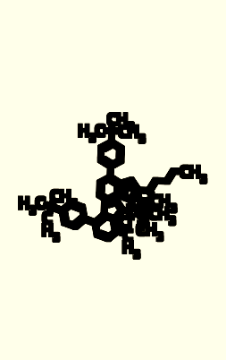 CCCCC(C)C1=Cc2c(-c3ccc(C(C)(C)C)cc3)cccc2[CH]1[Zr]([Cl])([Cl])([CH]1C(C)=Cc2c(-c3ccc(C(C)(C)C)cc3)ccc(C)c21)[SiH](C)C